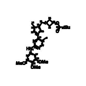 COc1cc(Nc2ncc(C)c(-n3cc(C)c(CN4CC(OC(=O)C(C)(C)C)C4)c3)n2)cc(OC)c1OC